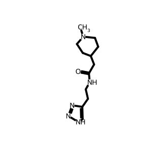 CN1CCC(CC(=O)NCCc2c[nH]nn2)CC1